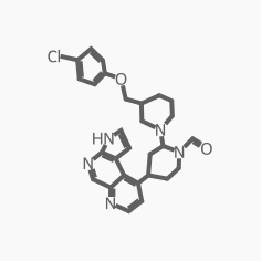 O=CN1CCC(c2ccnc3cnc4[nH]ccc4c23)CC1N1CCCC(COc2ccc(Cl)cc2)C1